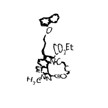 CCOC(=O)c1c(CCCOc2cccc3ccccc23)c2ccc(Cl)c3c2n1CCCCOCc1nn(C)c(CC)c1-3